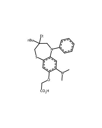 CCCCC1(CC)CSc2cc(OCC(=O)O)c(N(C)C)cc2N(c2ccccc2)C1